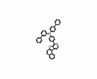 C1=CCC(c2ccc(N(c3ccc(-c4nccc5c4oc4ccc6ccccc6c45)cc3)c3cccc(-c4ccccc4)c3)cc2)C=C1